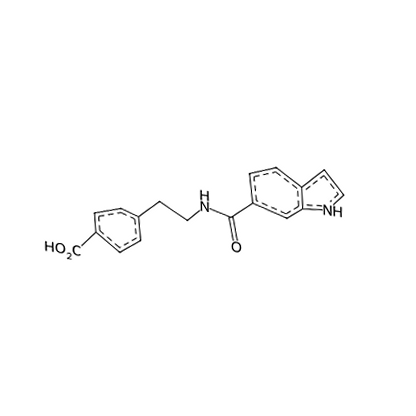 O=C(O)c1ccc(CCNC(=O)c2ccc3cc[nH]c3c2)cc1